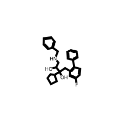 OC(CNCc1ccccc1)C(O)(Cc1cc(F)ccc1-c1ccccc1)C1CCCC1